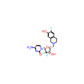 Nc1ccn([C@@H]2O[C@H](CN3CCc4cc(F)c(O)cc4C3)[C@@H](O)C2(F)F)c(=O)n1